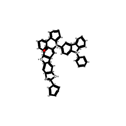 c1ccc(-c2nc3cc4oc5ccc(N(c6ccc7c(c6)c6ccccc6n7-c6ccccc6)c6ccccc6-c6ccccc6)cc5c4cc3o2)cc1